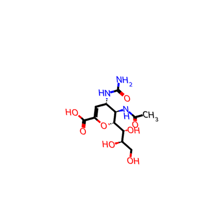 CC(=O)N[C@H]1[C@H]([C@H](O)[C@H](O)CO)OC(C(=O)O)=C[C@@H]1NC(N)=O